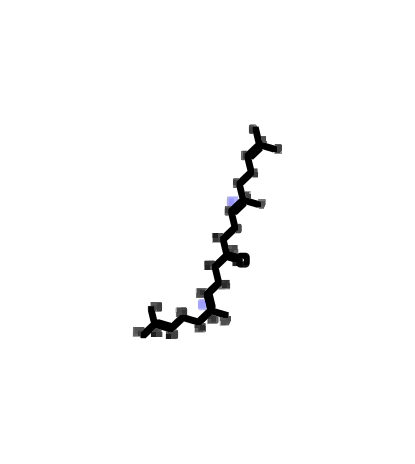 CC(C)=CCC/C(C)=C/CCC(=O)CC/C=C(\C)CCC=C(C)C